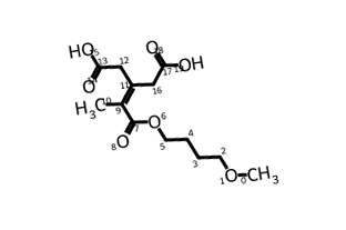 COCCCCOC(=O)C(C)=C(CC(=O)O)CC(=O)O